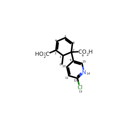 CC1C(C(=O)O)=CC=CC1(C(=O)O)c1ccc(Cl)nc1